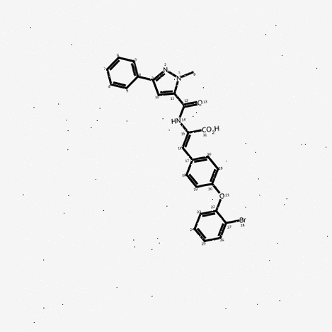 Cn1nc(-c2ccccc2)cc1C(=O)N/C(=C/c1ccc(Oc2ccccc2Br)cc1)C(=O)O